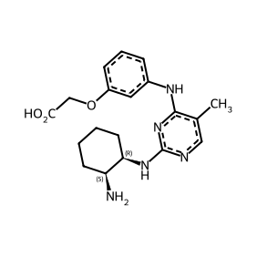 Cc1cnc(N[C@@H]2CCCC[C@@H]2N)nc1Nc1cccc(OCC(=O)O)c1